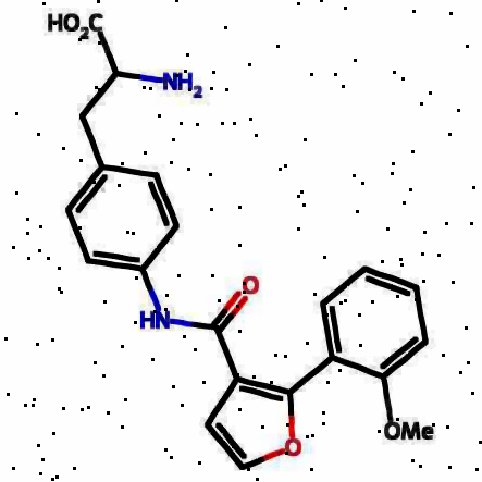 COc1ccccc1-c1occc1C(=O)Nc1ccc(CC(N)C(=O)O)cc1